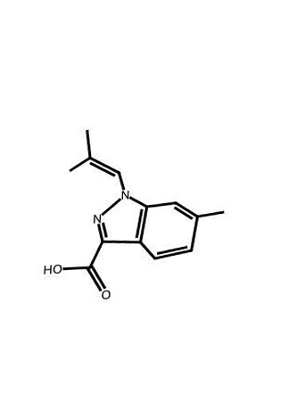 CC(C)=Cn1nc(C(=O)O)c2ccc(C)cc21